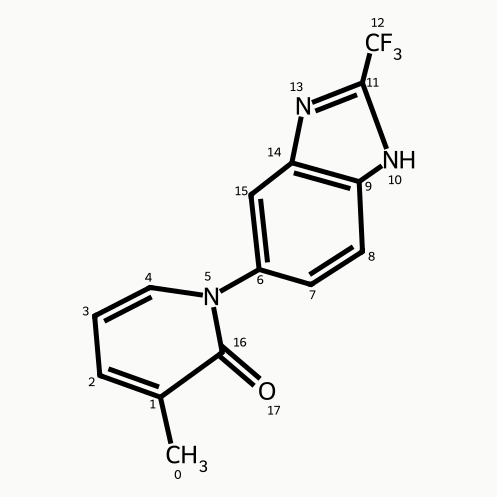 Cc1cccn(-c2ccc3[nH]c(C(F)(F)F)nc3c2)c1=O